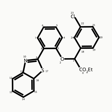 CCOC(=O)C(Oc1ccccc1-c1nc2ccccc2s1)c1cccc(Cl)c1